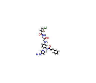 CN(CC(O)CNC(=O)c1ccc(Cl)s1)c1ccc(N2CCC(N)C2)c(NC(=O)CCc2ccccc2)c1